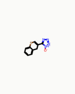 [O-][NH+]1N=NN=C1C1=[C]Sc2ccccc2C1